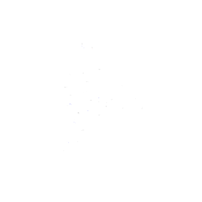 CC(=O)N1CCN(c2nc(NC3(c4cccc(Cl)c4)CC3)c3cc(-c4c(C)noc4C)ccc3n2)CC1